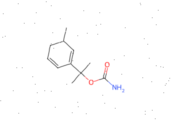 CC1C=C(C(C)(C)OC(N)=O)C=CC1